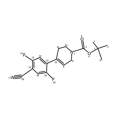 CC(C)(C)OC(=O)N1CC=C(c2cc(F)c(C#N)cc2F)CC1